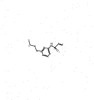 C=CC(=O)Nc1cccc(CCCC)c1